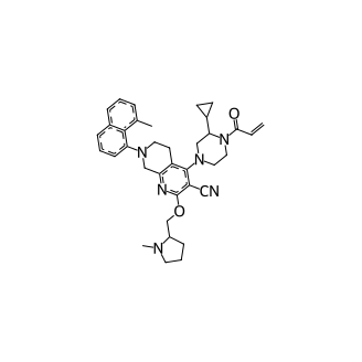 C=CC(=O)N1CCN(c2c(C#N)c(OCC3CCCN3C)nc3c2CCN(c2cccc4cccc(C)c24)C3)CC1C1CC1